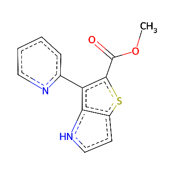 COC(=O)c1sc2cc[nH]c2c1-c1ccccn1